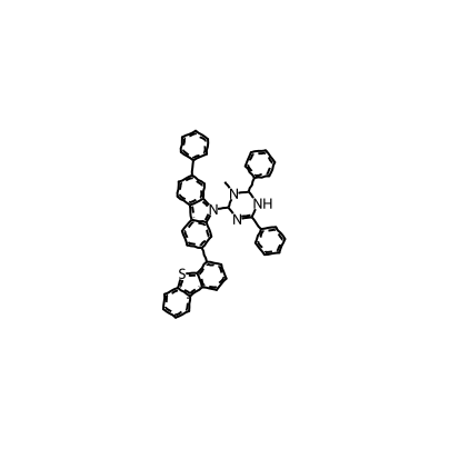 CN1C(c2ccccc2)NC(c2ccccc2)=NC1n1c2cc(-c3ccccc3)ccc2c2ccc(-c3cccc4c3sc3ccccc34)cc21